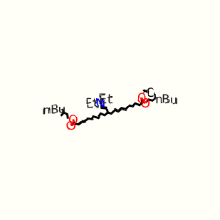 C=C=C=CC(CCCC)CCOC(=O)CCCCCCCCCC(CCCCCCCCCC(=O)OCCC(C)CCCC)CCN(CC)CC